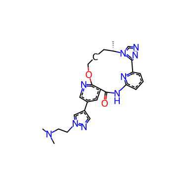 C[C@H]1CCCOc2ncc(-c3cnn(CCN(C)C)c3)cc2C(=O)Nc2cccc(n2)-c2nncn21